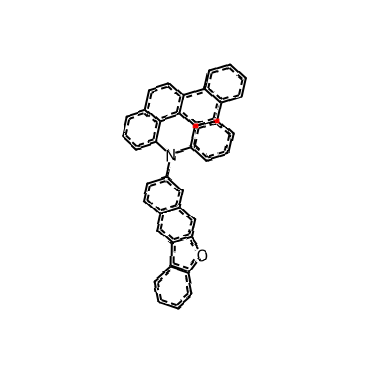 c1ccc(N(c2ccc3cc4c(cc3c2)oc2ccccc24)c2cccc3ccc4c5ccccc5ccc4c23)cc1